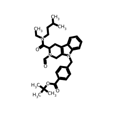 CCN(CCC(C)C)C(=O)C1Cc2c(n(Cc3ccc(C(=O)OC(C)(C)C)cc3)c3ccccc23)CN1C=O